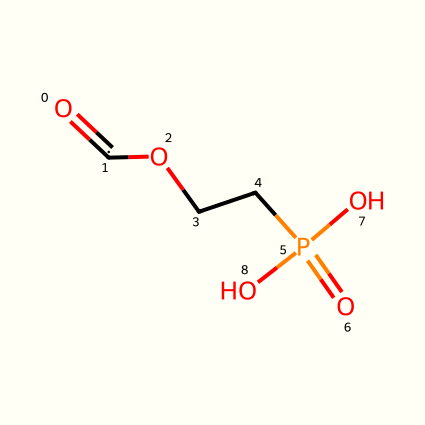 O=[C]OCCP(=O)(O)O